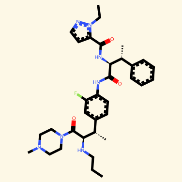 CCCN[C@@H](C(=O)N1CCN(C)CC1)[C@@H](C)c1ccc(NC(=O)[C@@H](NC(=O)c2ccnn2CC)[C@H](C)c2ccccc2)c(F)c1